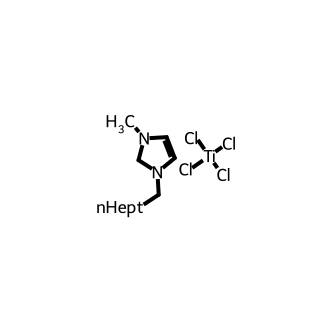 CCCCCCCCN1C=CN(C)C1.[Cl][Ti]([Cl])([Cl])[Cl]